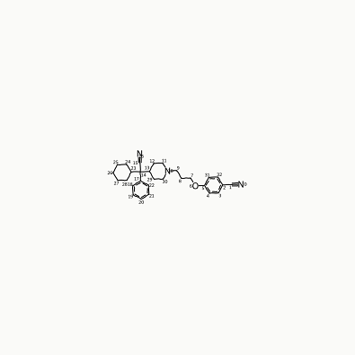 N#Cc1ccc(OCCCN2CCC(C(C#N)(c3ccccc3)C3CCCCC3)CC2)cc1